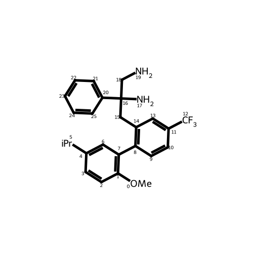 COc1ccc(C(C)C)cc1-c1ccc(C(F)(F)F)cc1CC(N)(CN)c1ccccc1